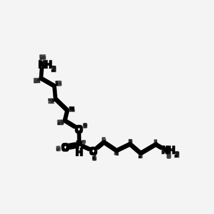 NCCCCCO[PH](=O)OCCCCCN